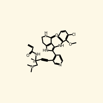 C=CC(=O)N[C@](C)(C#Cc1cnccc1-c1[nH]c2c(c1Nc1cccc(Cl)c1OC)C(=O)NCC2)CN(C)C